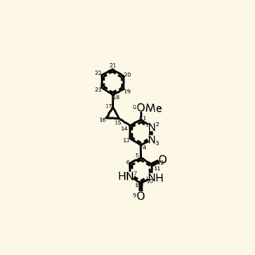 COc1nnc(-c2c[nH]c(=O)[nH]c2=O)cc1C1CC1c1ccccc1